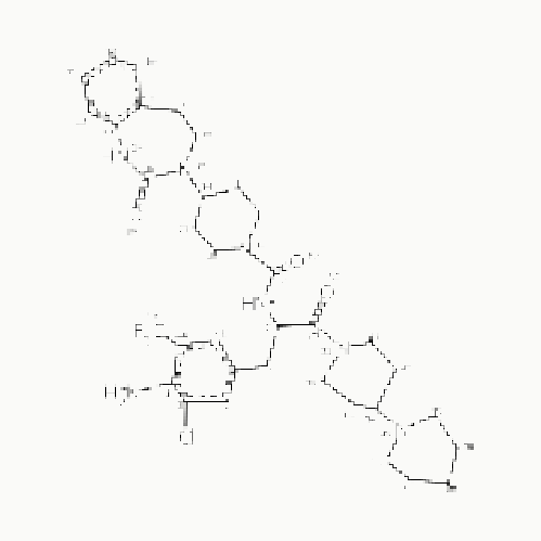 Nc1c(Cl)cc(CC(NC(=O)N2CCC(N3CCc4ccccc4NC3=O)CC2)C(=O)N2CCC(N3CCCCC3)CC2)cc1C(F)(F)F